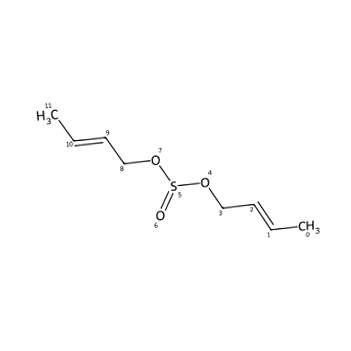 CC=CCOS(=O)OCC=CC